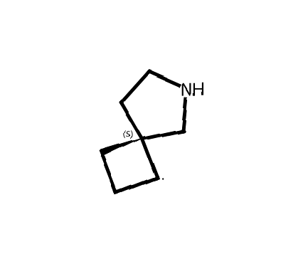 [CH]1CC[C@]12CCNC2